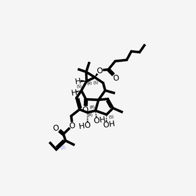 C/C=C(/C)C(=O)OCC1=C[C@@H]2C(=O)C3(C=C(C)[C@H](O)[C@@]3(O)[C@@H]1O)C(C)C[C@]1(OC(=O)CCCCC)[C@H]2C1(C)C